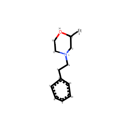 CCC1CN(CCc2ccccc2)CCO1